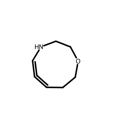 C1=CCCOCCNC=1